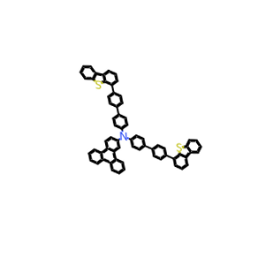 c1ccc2c(c1)sc1c(-c3ccc(-c4ccc(N(c5ccc(-c6ccc(-c7cccc8c7sc7ccccc78)cc6)cc5)c5ccc6c7ccccc7c7ccccc7c6c5)cc4)cc3)cccc12